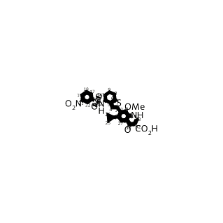 COc1c(-c2cc3c(s2)CCCC3NS(=O)(=O)c2cccc([N+](=O)[O-])c2)c(C2CC2)cc2c(=O)c(C(=O)O)c[nH]c12